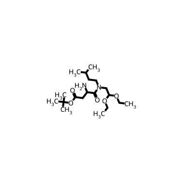 CCOC(CN(CCC(C)C)C(=O)C(N)CC(=O)OC(C)(C)C)OCC